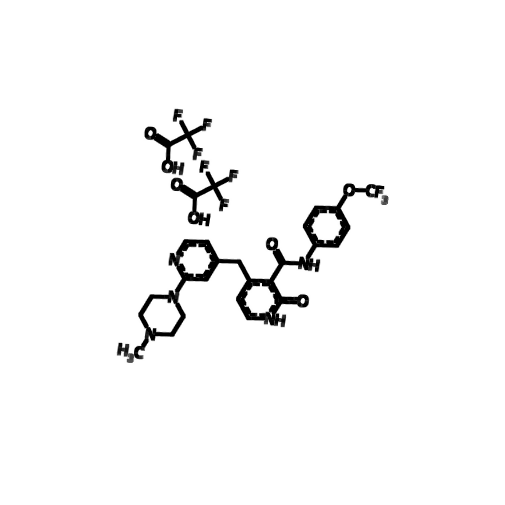 CN1CCN(c2cc(Cc3cc[nH]c(=O)c3C(=O)Nc3ccc(OC(F)(F)F)cc3)ccn2)CC1.O=C(O)C(F)(F)F.O=C(O)C(F)(F)F